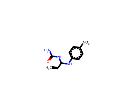 C=CC(NC(N)=O)Nc1ccc([N+](=O)[O-])cc1